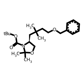 CC(C)(CCOCc1ccccc1)C[C@H]1COC(C)(C)N1C(=O)OC(C)(C)C